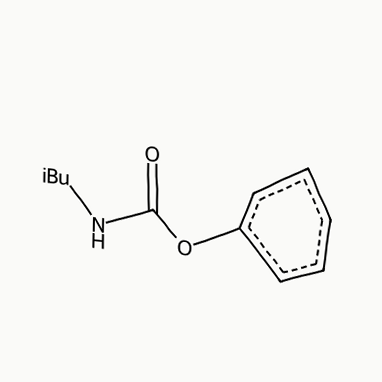 CCC(C)NC(=O)Oc1ccccc1